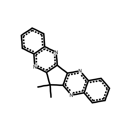 CC1(C)c2nc3ccccc3nc2-c2nc3ccccc3nc21